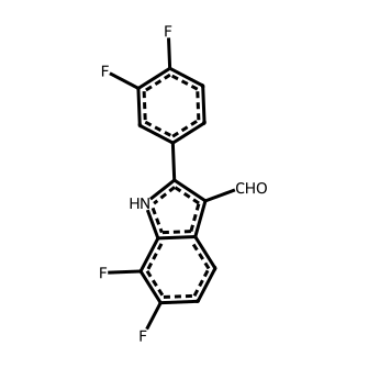 O=Cc1c(-c2ccc(F)c(F)c2)[nH]c2c(F)c(F)ccc12